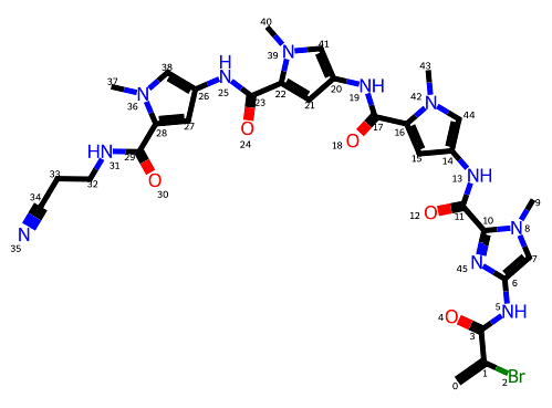 C=C(Br)C(=O)Nc1cn(C)c(C(=O)Nc2cc(C(=O)Nc3cc(C(=O)Nc4cc(C(=O)NCCC#N)n(C)c4)n(C)c3)n(C)c2)n1